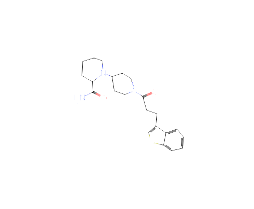 NC(=O)C1CCCCN1C1CCN(C(=O)[CH]Cc2csc3ccccc23)CC1